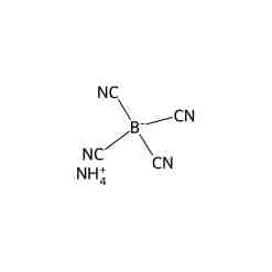 N#C[B-](C#N)(C#N)C#N.[NH4+]